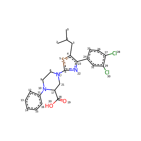 CC(C)Cc1sc(N2CCN(c3ccccc3)C(C(=O)O)C2)nc1-c1ccc(Cl)c(Cl)c1